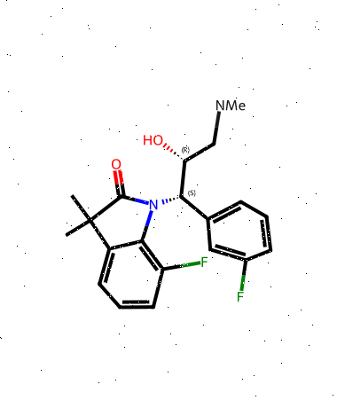 CNC[C@@H](O)[C@H](c1cccc(F)c1)N1C(=O)C(C)(C)c2cccc(F)c21